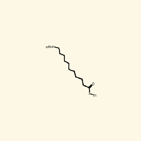 [CH2]CSC(=O)CCCCCCCCCCCCCCCCCCC